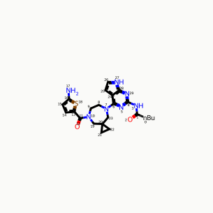 CCCCC(=O)Nc1nc(N2CCN(C(=O)c3ccc(N)s3)CC3(CC3)C2)c2cc[nH]c2n1